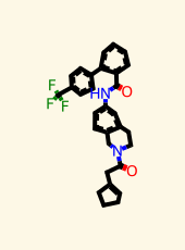 O=C(Nc1ccc2c(c1)CCN(C(=O)CC1=CCCC1)C2)c1ccccc1-c1ccc(C(F)(F)F)cc1